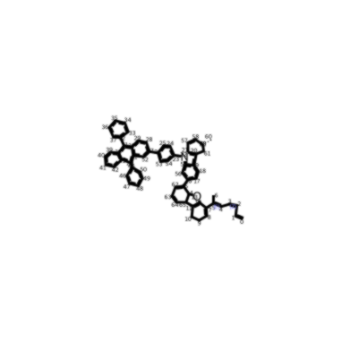 C=C/C=C\C=C(/C)C1=CCCC2=C1OC1C(c3ccc4c5c(n(-c6ccc(-c7ccc8c(-c9ccccc9)c9ccccc9c(-c9ccccc9)c8c7)cc6)c4c3)C=C[C@H](C)C5)=CC=CC21